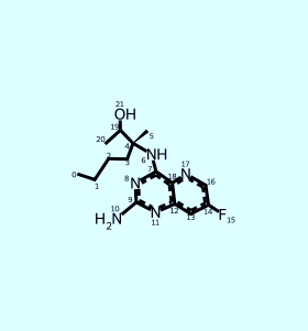 CCCC[C@@](C)(Nc1nc(N)nc2cc(F)cnc12)C(C)O